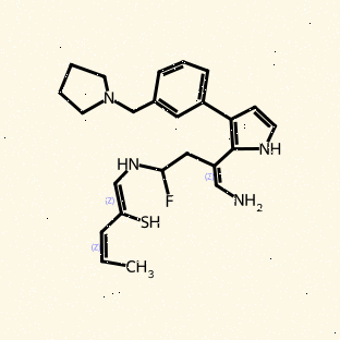 C/C=C\C(S)=C\NC(F)C/C(=C/N)c1[nH]ccc1-c1cccc(CN2CCCC2)c1